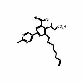 C=CCCCCCCc1cc(-c2cnc(C)nc2)cc(C(=N)C(C)=O)c1NCC(=O)O